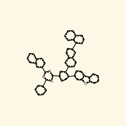 c1ccc(-c2nc(-c3ccc(-c4ccc5c(c4)oc4ccccc45)c(-c4ccc5cc(-c6cccc7ccccc67)ccc5c4)c3)nc(-c3ccc4ccccc4c3)n2)cc1